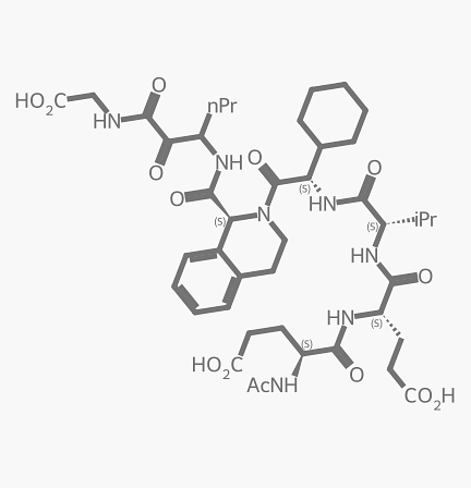 CCCC(NC(=O)[C@@H]1c2ccccc2CCN1C(=O)[C@@H](NC(=O)[C@@H](NC(=O)[C@H](CCC(=O)O)NC(=O)[C@H](CCC(=O)O)NC(C)=O)C(C)C)C1CCCCC1)C(=O)C(=O)NCC(=O)O